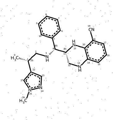 C[C@H](CN[C@H](c1ccccc1)[C@H]1CNc2cccc(C#N)c2N1)c1cnn(C)c1